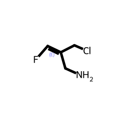 NC/C(=C\F)CCl